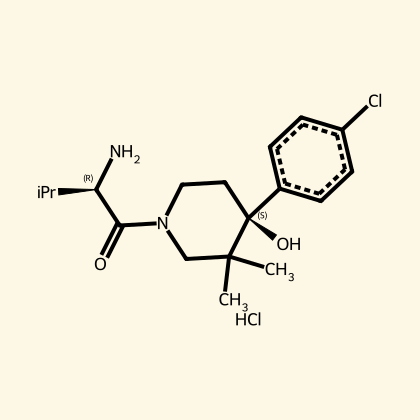 CC(C)[C@@H](N)C(=O)N1CC[C@](O)(c2ccc(Cl)cc2)C(C)(C)C1.Cl